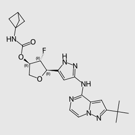 CC(C)(C)c1cc2c(Nc3cc([C@H]4OC[C@@H](OC(=O)NC56CC(C5)C6)[C@@H]4F)[nH]n3)nccn2n1